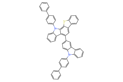 c1ccc(-c2ccc(-n3c4ccccc4c4cc(-c5cc6c7ccccc7sc6c6c5c5ccccc5n6-c5ccc(-c6ccccc6)cc5)ccc43)cc2)cc1